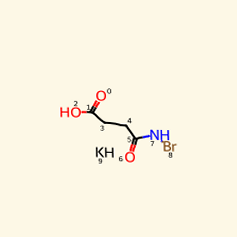 O=C(O)CCC(=O)NBr.[KH]